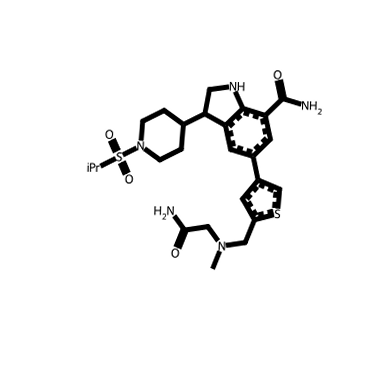 CC(C)S(=O)(=O)N1CCC(C2CNc3c(C(N)=O)cc(-c4csc(CN(C)CC(N)=O)c4)cc32)CC1